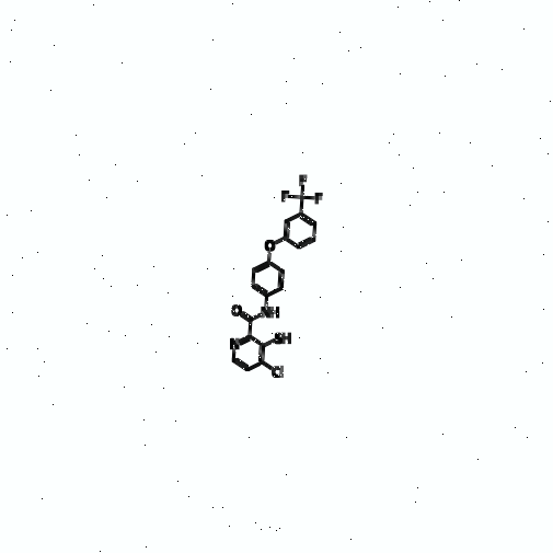 O=C(Nc1ccc(Oc2cccc(C(F)(F)F)c2)cc1)c1nccc(Cl)c1S